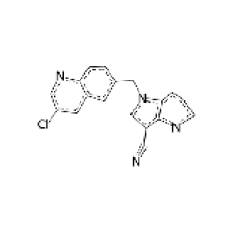 N#Cc1cn(Cc2ccc3ncc(Cl)cc3c2)c2cccnc12